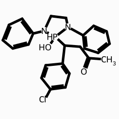 CC(=O)CC(c1ccc(Cl)cc1)[PH]1(O)N(c2ccccc2)CCN1c1ccccc1